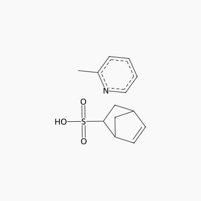 Cc1ccccn1.O=S(=O)(O)C1CC2C=CC1C2